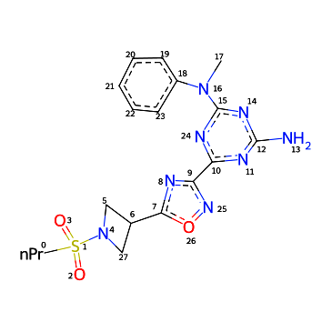 CCCS(=O)(=O)N1CC(c2nc(-c3nc(N)nc(N(C)c4ccccc4)n3)no2)C1